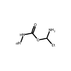 CCCNC(=O)OC(N)CC